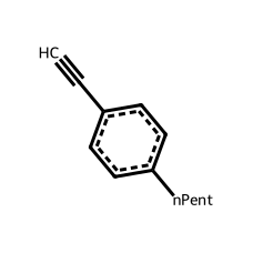 C#Cc1ccc(CCCC[CH2])cc1